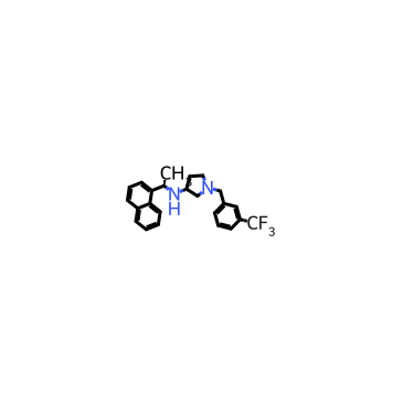 C[C@@H](NC1CCN(Cc2cccc(C(F)(F)F)c2)C1)c1cccc2ccccc12